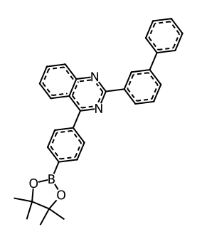 CC1(C)OB(c2ccc(-c3nc(-c4cccc(-c5ccccc5)c4)nc4ccccc34)cc2)OC1(C)C